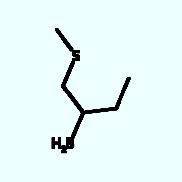 BC(CC)CSC